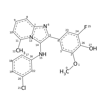 COc1cc(-c2nc3cccc(C)n3c2Nc2cccc(Cl)c2)cc(F)c1O